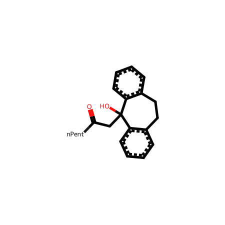 CCCCCC(=O)CC1(O)c2ccccc2CCc2ccccc21